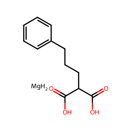 O=C(O)C(CCCc1ccccc1)C(=O)O.[MgH2]